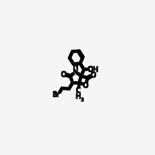 CC12OC(=O)C1(C(O)C1C=CCCC1)NC(=O)C2CCBr